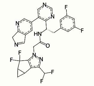 O=C(Cn1nc(C(F)F)c2c1C(F)(F)C1CC21)N[C@@H](Cc1cc(F)cc(F)c1)c1ncncc1-c1cnc2c(c1)C=NC2